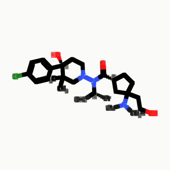 CC(C)[C@H](C=O)N(C(=O)[C@@H]1CCC(CCO)(N(C(=O)O)C(C)(C)C)C1)N1CC[C@](O)(c2ccc(Cl)cc2)C(C)(C)C1